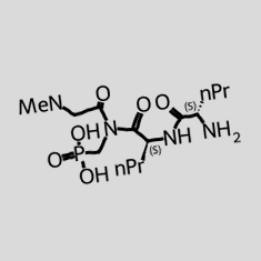 CCC[C@H](NC(=O)[C@@H](N)CCC)C(=O)N(CP(=O)(O)O)C(=O)CNC